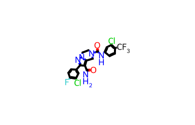 NC(=O)c1c(-c2ccc(F)c(Cl)c2)nn2c1CN(C(=O)Nc1ccc(C(F)(F)F)c(Cl)c1)CC2